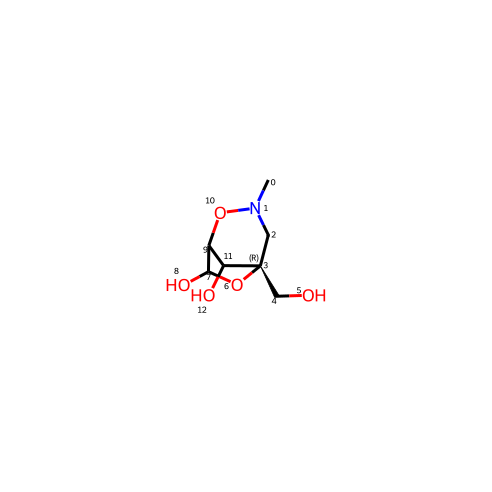 CN1C[C@]2(CO)OC(O)C(O1)C2O